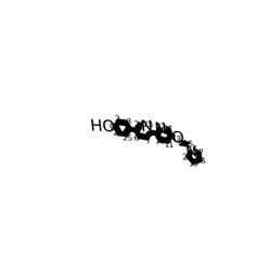 Oc1ccc(-c2ccc(-c3ccc(OCCN4CCCC4)cn3)nc2)cc1